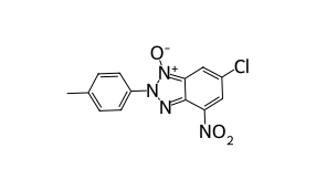 Cc1ccc(-n2nc3c([N+](=O)[O-])cc(Cl)cc3[n+]2[O-])cc1